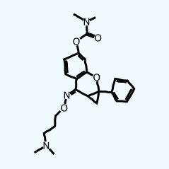 CN(C)CCCON=C1c2ccc(OC(=O)N(C)C)cc2OC2(c3ccccc3)CC12